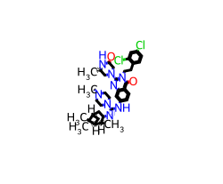 C[C@@H]1C(/N=C(/Nc2ccc3c(=O)n(CCc4ccc(Cl)cc4Cl)c(N4CC(=O)N[C@@H](C)C4)nc3c2)N2CCN(C)CC2)C[C@@H]2C[C@H]1C2(C)C